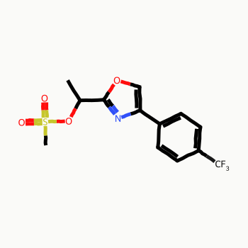 CC(OS(C)(=O)=O)c1nc(-c2ccc(C(F)(F)F)cc2)co1